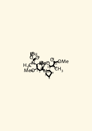 CC[C@H](C)[C@@H]([C@@H](CC(=O)N1CCC[C@H]1C(OC)C(C)C(=O)OC)OC)N(C)C(=O)OC(C)(C)C